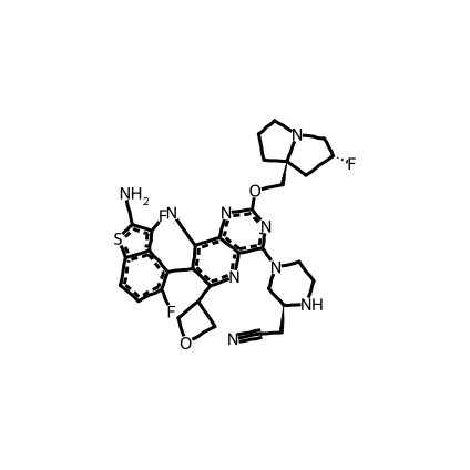 N#CC[C@H]1CN(c2nc(OC[C@@]34CCCN3C[C@H](F)C4)nc3c(C#N)c(-c4c(F)ccc5sc(N)c(F)c45)c(C4COC4)nc23)CCN1